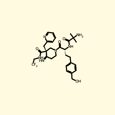 CC(C)(N)C(=O)N[C@H](CCc1ccc(CO)cc1)C(=O)N1CCC(=N)[C@](Cc2ccccn2)(C(=O)NCC(F)(F)F)C1